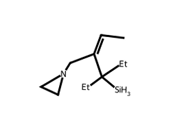 CC=C(CN1CC1)C([SiH3])(CC)CC